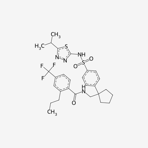 CCCc1cc(C(F)(F)F)ccc1C(=O)NCC1(c2ccc(S(=O)(=O)Nc3nnc(C(C)C)s3)cc2)CCCC1